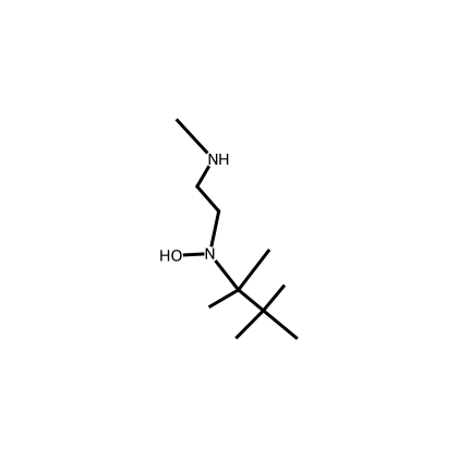 CNCCN(O)C(C)(C)C(C)(C)C